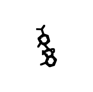 Cc1cc(C(C)C)ccc1-c1nc2c(C)cccc2o1